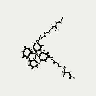 CC=CC(=O)OCCCOc1ccc(C2(c3ccc(OCCCOC(=O)C=CC)cc3)c3ccccc3-c3ccccc32)cc1